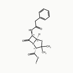 CC1(C)S[C@@H]2[C@H](NC(=O)Cc3ccccc3)C(=O)N2[C@H]1C(=O)OI